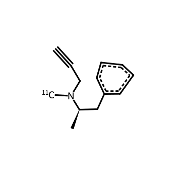 C#CCN([11CH3])[C@H](C)Cc1ccccc1